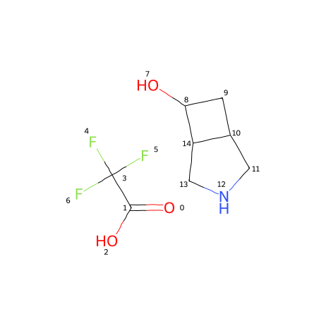 O=C(O)C(F)(F)F.OC1CC2CNCC12